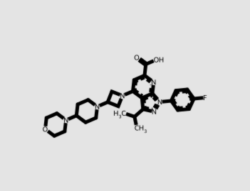 CC(C)c1nn(-c2ccc(F)cc2)c2nc(C(=O)O)cc(N3CC(N4CCC(N5CCOCC5)CC4)C3)c12